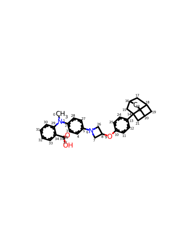 CN(c1ccc(N2CC(Oc3ccc(C45CC6CC7CC(C4)C75C6)cc3)C2)cc1)c1ccccc1C(=O)O